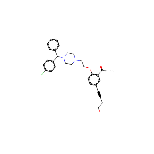 COC(=O)c1cc(C#CCCO)ccc1OCCN1CCN(C(c2ccccc2)c2ccc(Cl)cc2)CC1